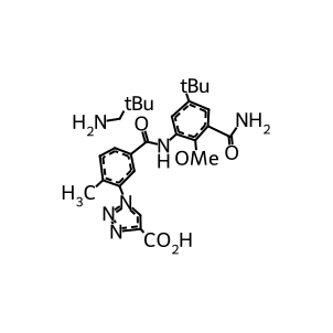 CC(C)(C)CN.COc1c(NC(=O)c2ccc(C)c(-n3cc(C(=O)O)nn3)c2)cc(C(C)(C)C)cc1C(N)=O